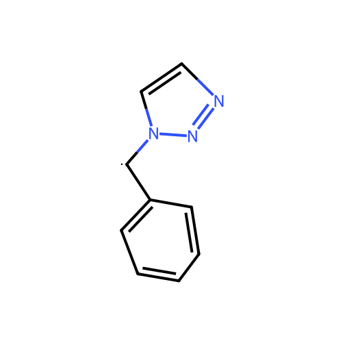 [CH](c1ccccc1)n1ccnn1